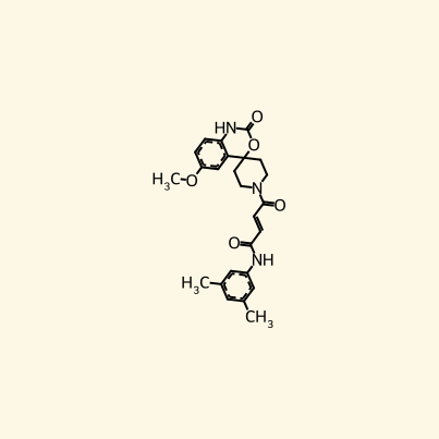 COc1ccc2c(c1)C1(CCN(C(=O)C=CC(=O)Nc3cc(C)cc(C)c3)CC1)OC(=O)N2